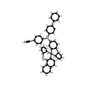 N#Cc1ccc(N(c2ccc(-c3ccccc3)cc2)c2ccc3c(c2)C2(c4ccccc4Oc4c2ccc2ccccc42)c2ccccc2-3)cc1